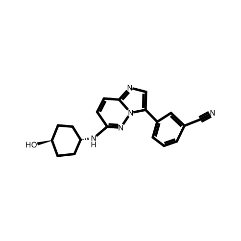 N#Cc1cccc(-c2cnc3ccc(N[C@H]4CC[C@H](O)CC4)nn23)c1